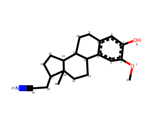 COc1cc2c(cc1O)CCC1C2CCC2(C)C(CC#N)CCC12